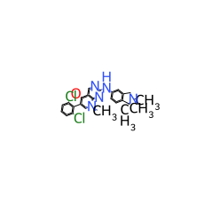 CN1Cc2cc(Nc3ncc4c(=O)c(-c5c(Cl)cccc5Cl)cn(C)c4n3)ccc2C1(C)C